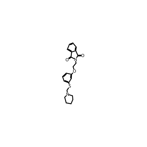 O=C1c2ccccc2C(=O)N1CCOc1cccc(SCN2CCCCC2)c1